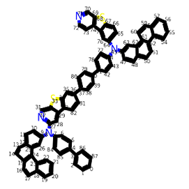 c1ccc(-c2ccc(N(c3ccc4ccc5ccc6ccccc6c5c4c3)c3cc4c(cn3)sc3cc(-c5ccc(-c6ccc(N(c7ccc8ccc9c%10ccccc%10ccc9c8c7)c7ccc8sc9cnccc9c8c7)cc6)cc5)ccc34)cc2)cc1